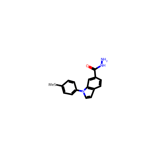 CSc1ccc(-n2ccc3ccc(C(=O)NN)cc32)cc1